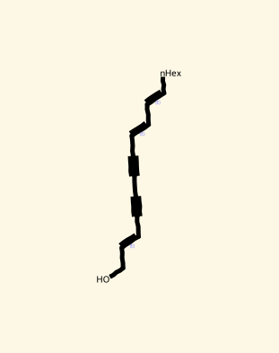 CCCCCC/C=C/C=C/C#CC#C/C=C/CO